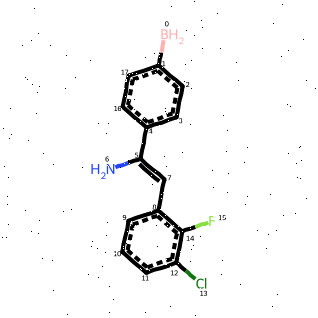 Bc1ccc(/C(N)=C/c2cccc(Cl)c2F)cc1